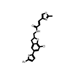 CC(=O)c1ccc(-c2cc(Cl)c3c(c2)CC(CNC(=O)C=Cc2coc(C)n2)O3)s1